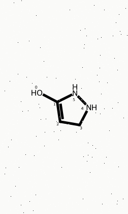 OC1=CCNN1